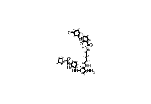 Nc1cnc(Nc2cccc(NC(=O)N3CCCC3)c2)nc1NCCCCCCNC(=O)c1cccn(Cc2cccc(Cl)c2)c1=O